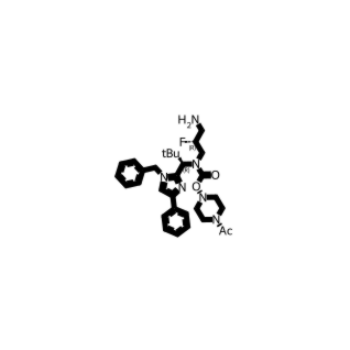 CC(=O)N1CCN(OC(=O)N(C[C@H](F)CN)[C@@H](c2nc(-c3ccccc3)cn2Cc2ccccc2)C(C)(C)C)CC1